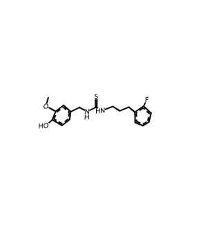 COc1cc(CNC(=S)NCCCc2ccccc2F)ccc1O